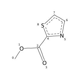 COC(=O)c1nccs1